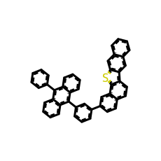 c1ccc(-c2c3ccccc3c(-c3cccc(-c4ccc5ccc6c7cc8ccccc8cc7sc6c5c4)c3)c3ccccc23)cc1